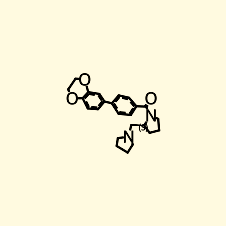 O=C(c1ccc(-c2ccc3c(c2)OCCO3)cc1)N1CCC[C@H]1CN1CCCC1